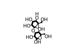 OC[C@H]1OC(O)[C@H](O)[C@@H](O[C@H]2O[C@H](CO)[C@@H](O)[C@H](O)[C@H]2O)[C@H]1O